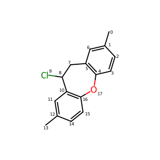 Cc1ccc2c(c1)CC(Cl)c1cc(C)ccc1O2